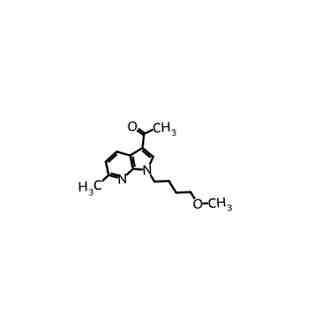 COCCCCn1cc(C(C)=O)c2ccc(C)nc21